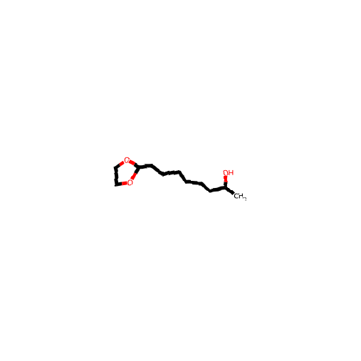 CC(O)CCCCCCC1OCCO1